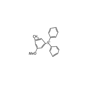 COc1cc(C)cc([S+](c2ccccc2)c2ccccc2)c1